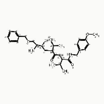 COc1ccc(CNC(=O)C(NC(=O)[C@@H](C[C@H](O)C(N)COCc2ccccc2)C(C)C)C(C)C)cc1